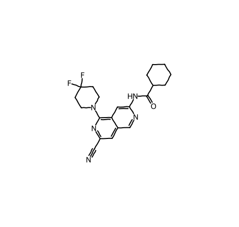 N#Cc1cc2cnc(NC(=O)C3CCCCC3)cc2c(N2CCC(F)(F)CC2)n1